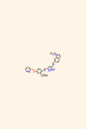 COc1cc(OCc2ccccn2)ccc1/C=C/c1cc(/C=C/c2ccc3ccn(C)c3c2)[nH]n1